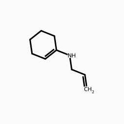 C=CCNC1=CCCCC1